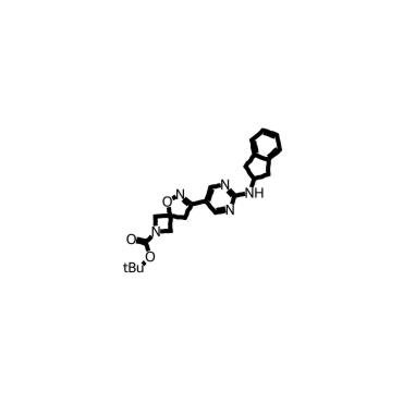 CC(C)(C)OC(=O)N1CC2(CC(c3cnc(NC4Cc5ccccc5C4)nc3)=NO2)C1